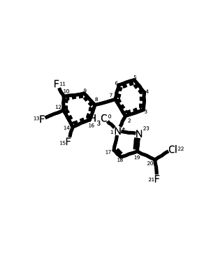 C[N+]1(c2ccccc2-c2cc(F)c(F)c(F)c2)C=CC(C(F)Cl)=N1